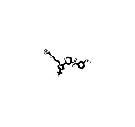 COCOCCCn1nc(C(F)(F)F)cc1C1CC(S(=O)(=O)c2cccc(C)c2)CCO1